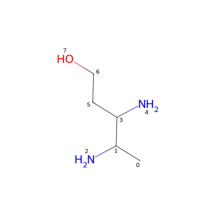 CC(N)C(N)CCO